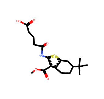 COC(=O)c1c(NC(=O)CCCC(=O)O)sc2c1CCC(C(C)(C)C)C2